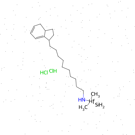 Cl.Cl.[CH3][Hf]([CH3])(=[SiH2])[NH]CCCCCCCCCCC1CCC2CC=CC=C21